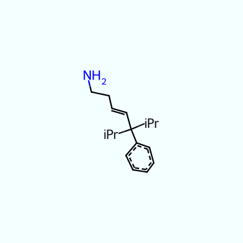 CC(C)C(C=CCCN)(c1ccccc1)C(C)C